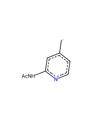 [CH2]c1ccnc(NC(C)=O)c1